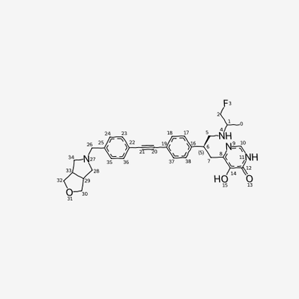 CC(CF)NC[C@@H](Cc1nc[nH]c(=O)c1O)c1ccc(C#Cc2ccc(CN3CC4COCC4C3)cc2)cc1